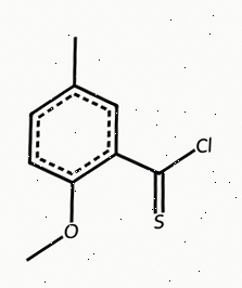 COc1ccc(C)cc1C(=S)Cl